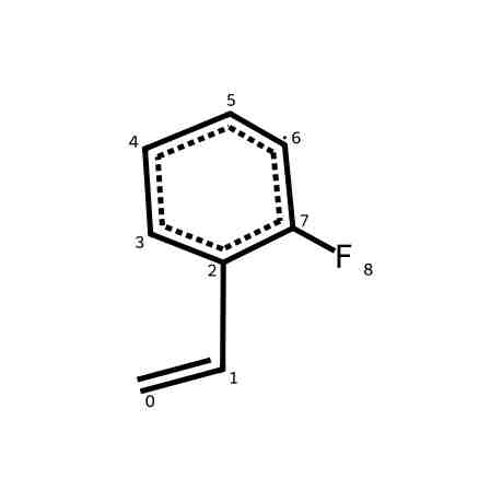 C=Cc1ccc[c]c1F